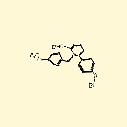 CCOc1ccc(C2=CCCC(C=O)N2Cc2ccc(OC(F)(F)F)cc2)cc1